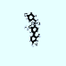 N#Cc1ccc(-c2ccc(S(=O)(=O)CC3CCC(=O)CC3)c(C(F)(F)F)c2)c(F)c1